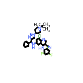 CC(C)(C)N1CCC(n2cc(C(Nc3cc(Cl)c4ncc(C#N)c(Nc5c(F)cc(F)cc5F)c4c3)c3ccccc3)nn2)CC1